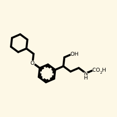 O=C(O)NCCC(CO)c1cccc(OCC2CCCCC2)c1